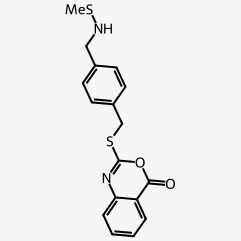 CSNCc1ccc(CSc2nc3ccccc3c(=O)o2)cc1